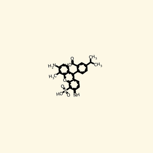 Cc1c(N)ccc2c(-c3ccc(C(C)C)cc3C(=O)O)c3ccc(=N)c(S(=O)(=O)O)c-3oc12